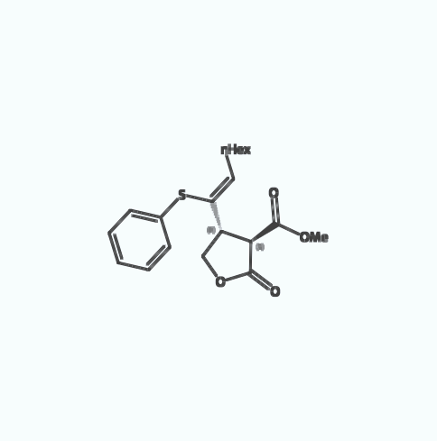 CCCCCCC=C(Sc1ccccc1)[C@H]1COC(=O)[C@@H]1C(=O)OC